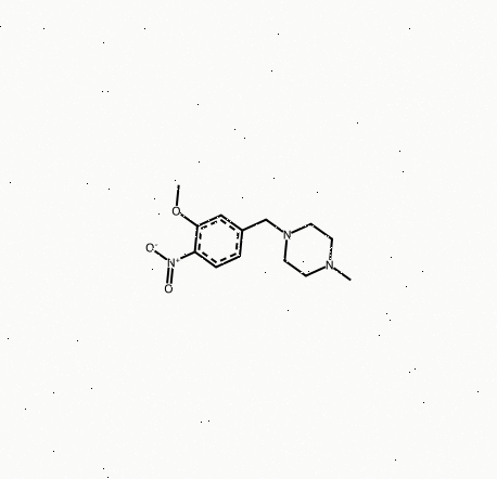 COc1cc(CN2CCN(C)CC2)ccc1[N+](=O)[O-]